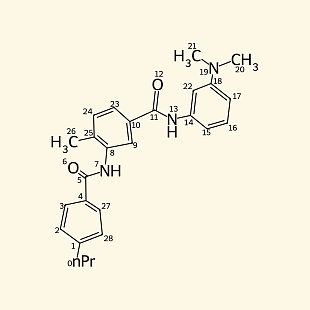 CCCc1ccc(C(=O)Nc2cc(C(=O)Nc3cccc(N(C)C)c3)ccc2C)cc1